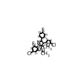 COC(=O)C1(C)C(c2ccc(Cl)o2)C(c2ccc(F)cc2)=NN1c1ccc(Cl)cc1F